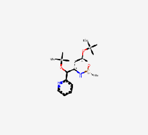 C[C@@H](C[C@H](N[S@+]([O-])C(C)(C)C)C(O[Si](C)(C)C(C)(C)C)c1ccccn1)O[Si](C)(C)C(C)(C)C